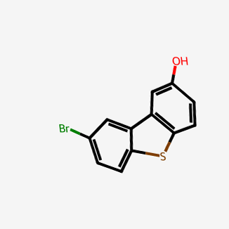 Oc1ccc2sc3ccc(Br)cc3c2c1